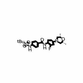 C[C@@H]1CN(c2ccc(NC(=O)c3ccc(NS(=O)(=O)C(C)(C)C)cc3)c(F)c2)C[C@H](C)O1